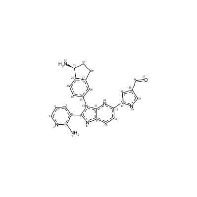 Nc1ncccc1-c1nc2ccc(-n3cc(C=O)cn3)nc2n1-c1ccc2c(c1)CC[C@@H]2N